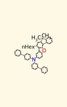 CCCCCCc1cc2c(c3oc4ccc(N(c5ccc(-c6ccccc6)cc5)c5cccc(-c6ccccc6)c5)cc4c13)-c1ccccc1C2(C)C